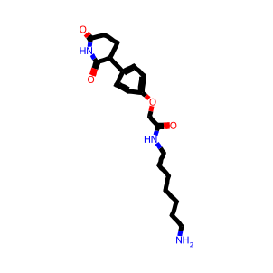 NCCCCCCCNC(=O)COc1ccc(C2CCC(=O)NC2=O)cc1